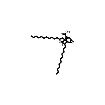 CCCCCCCCCCCCCC12CC(C3OC31)C(C(=O)O)C2(CCCCCCCCCCCCC)C(=O)O